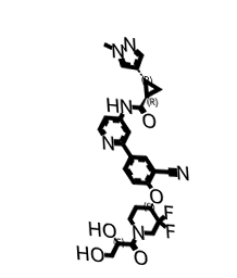 Cn1cc([C@@H]2C[C@H]2C(=O)Nc2ccnc(-c3ccc(O[C@H]4CCN(C(=O)[C@@H](O)CO)CC4(F)F)c(C#N)c3)c2)cn1